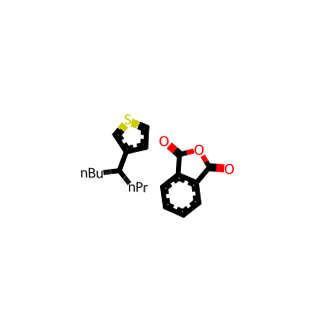 CCCCC(CCC)c1ccsc1.O=C1OC(=O)c2ccccc21